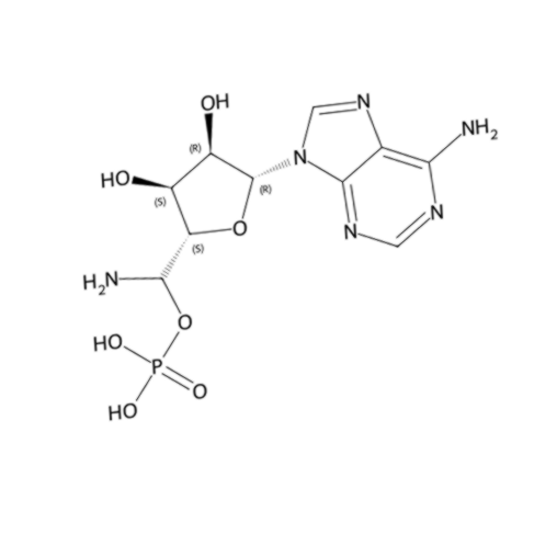 Nc1ncnc2c1ncn2[C@@H]1O[C@H](C(N)OP(=O)(O)O)[C@@H](O)[C@H]1O